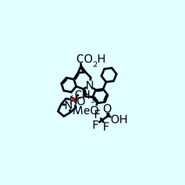 COc1ccc(C2CCCCC2)c2c1cc1n2CC2=C(C(=O)O)C2=C2C=CC[C@@H](C(=O)N3C4CCC3CN(C)C4)C21.O=C(O)C(F)(F)F